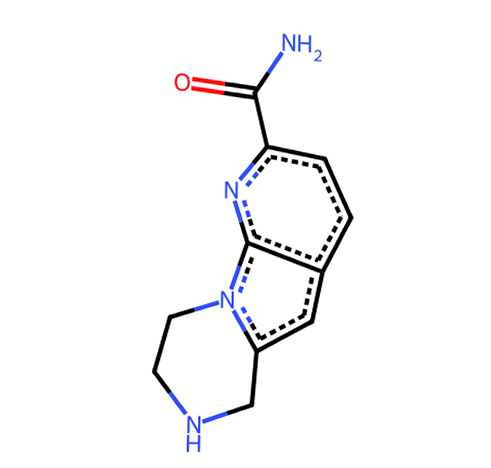 NC(=O)c1ccc2cc3n(c2n1)CCNC3